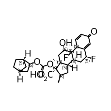 C[C@@H]1C[C@H]2[C@@H]3C[C@H](F)C4=CC(=O)C=C[C@]4(C)[C@@]3(F)[C@@H](O)C[C@]2(C)[C@@]1(OC(=O)O[C@H]1C[C@@H]2CC[C@H]1C2)C(=O)O